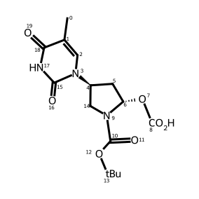 Cc1cn([C@H]2C[C@H](OC(=O)O)N(C(=O)OC(C)(C)C)C2)c(=O)[nH]c1=O